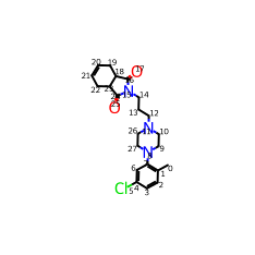 Cc1ccc(Cl)cc1N1CCN(CCCN2C(=O)C3CC=CCC3C2=O)CC1